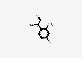 Cc1cc(Br)ccc1[C@@H](C)C=O